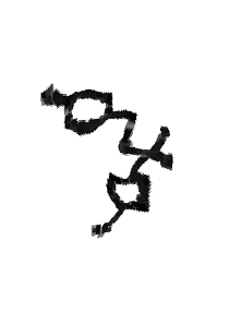 Cc1ccc(S(=O)(=O)OCc2ccc(C#N)cc2)cc1